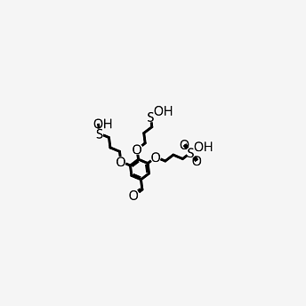 O=Cc1cc(OCCCSO)c(OCCCSO)c(OCCCS(=O)(=O)O)c1